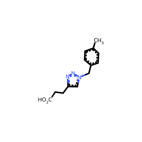 Cc1ccc(Cn2cc(CCC(=O)O)nn2)cc1